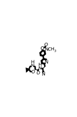 Cn1c(=O)oc2ccc(-c3ccc(C[C@@H](C#N)NC(=O)[C@@H]4CNCC5(CC5)CO4)nc3)cc21